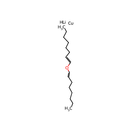 CCCCCCC=COC=CCCCCCC.[Cu].[LiH]